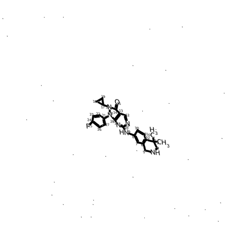 CC1(C)CNCc2cc(Nc3ncc4c(=O)n(C5CC5)n(-c5ccc(F)cc5)c4n3)ccc21